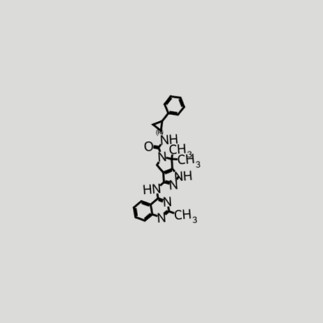 Cc1nc(Nc2n[nH]c3c2CN(C(=O)N[C@@H]2CC2c2ccccc2)C3(C)C)c2ccccc2n1